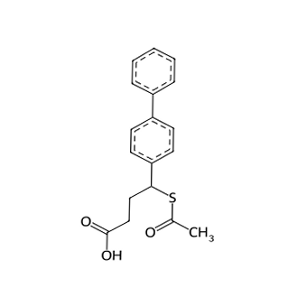 CC(=O)SC(CCC(=O)O)c1ccc(-c2ccccc2)cc1